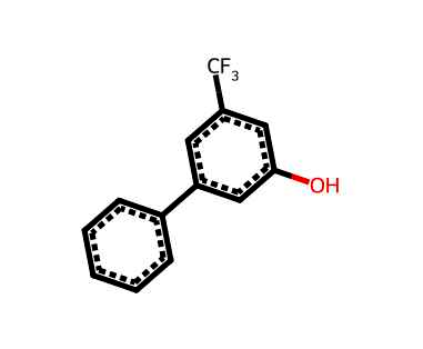 Oc1cc(-c2ccccc2)cc(C(F)(F)F)c1